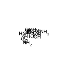 NC(=O)c1ccc[n+]([C@@H]2CN[C@H](COP(=O)(O)OP(=O)(O)OC[C@H]3O[C@@H](n4cnc5c(N)ccnc54)[C@H](O)[C@@H]3O)C2)c1